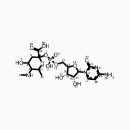 CNC1C(O)CC(OP(=O)(O)OCC2OC(n3ccc(N)nc3=O)[C@H](O)[C@@H]2O)(C(=O)O)OC1C